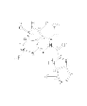 CN(C(=O)c1cc2cccc(F)c2[nH]1)C1COCc2[nH]c(=O)c3cc(F)ccc3c21